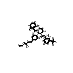 CCOC(=O)CCc1ccc([C@H]2[C@@H](C(=O)Nc3cccc(C(C)(C)C)c3)CCCN2C(=O)c2c(C)cccc2C)cc1